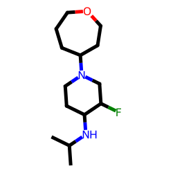 CC(C)NC1CCN(C2CCCOCC2)CC1F